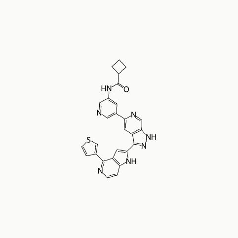 O=C(Nc1cncc(-c2cc3c(-c4cc5c(-c6ccsc6)nccc5[nH]4)n[nH]c3cn2)c1)C1CCC1